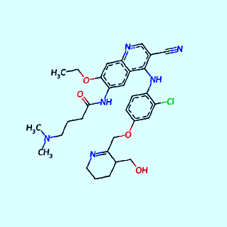 CCOc1cc2ncc(C#N)c(Nc3ccc(OCC4=NCCCC4CO)cc3Cl)c2cc1NC(=O)CCCN(C)C